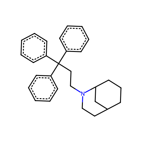 c1ccc(C(CCN2CCC3CCCC2C3)(c2ccccc2)c2ccccc2)cc1